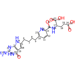 Nc1nc2[nH]c(CCCCc3ccc(C(=O)NC(CCC(=O)O)C(=O)O)nc3)cc2c(=O)[nH]1